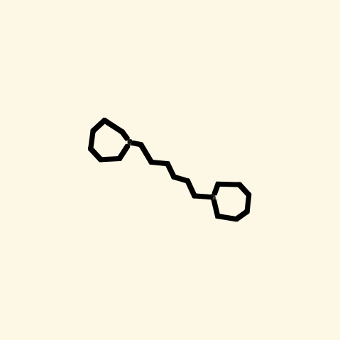 C1CCCB(CCCCCCB2CCCCCC2)CC1